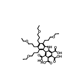 CCOCCCc1c(CCCOCC)c(CCCOCC)c2c([nH]c3c(C(=O)O)c(C(=O)O)c(C(=O)O)c(C(=O)O)c32)c1CCCOCC